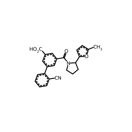 Cc1ccc(C2CCCN2C(=O)c2cc(C(=O)O)cc(-c3ccccc3C#N)c2)o1